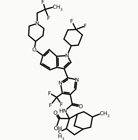 CC1CC2CC(C)C(NC(=O)c3cnc(-c4cn(C5CCC(F)(F)CC5)c5cc(OC6CCN(CC(C)(F)F)CC6)ccc45)nc3C(F)(F)F)(C(=O)O)C(C1)C2